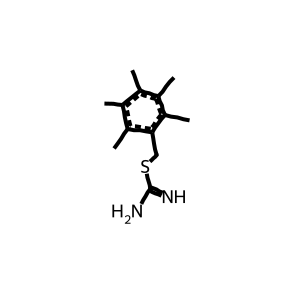 Cc1c(C)c(C)c(CSC(=N)N)c(C)c1C